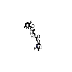 C=C(CCNC(=O)COC(=C)/C=C(/F)C(=C)Cl)NC(=O)c1nc(C)ccc1F